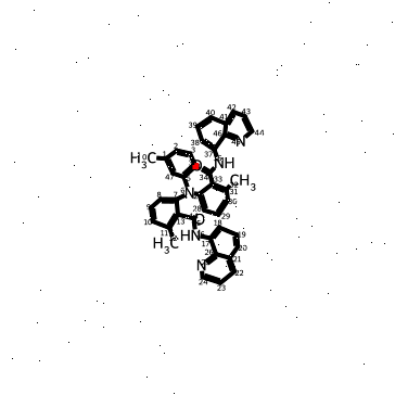 Cc1cccc(N(c2cccc(C)c2C(=O)Nc2cccc3cccnc23)c2cccc(C)c2C(=O)Nc2cccc3cccnc23)c1